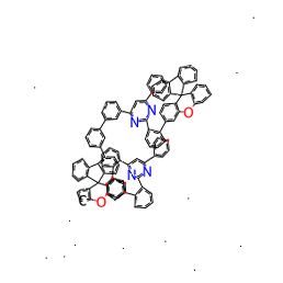 c1ccc(-c2cc(-c3cccc(-c4cccc(-c5cccc6c5-c5ccccc5C65c6ccccc6Oc6cc(-c7ccccc7-c7nc(-c8ccccc8)cc(-c8ccccc8-c8ccccc8)n7)ccc65)c4)c3)nc(-c3ccccc3-c3ccc4c(c3)Oc3ccccc3C43c4ccccc4-c4ccccc43)n2)cc1